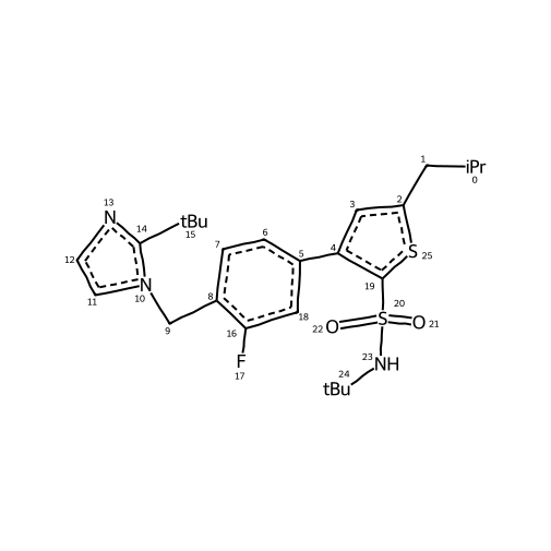 CC(C)Cc1cc(-c2ccc(Cn3ccnc3C(C)(C)C)c(F)c2)c(S(=O)(=O)NC(C)(C)C)s1